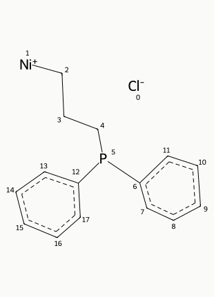 [Cl-].[Ni+][CH2]CCP(c1ccccc1)c1ccccc1